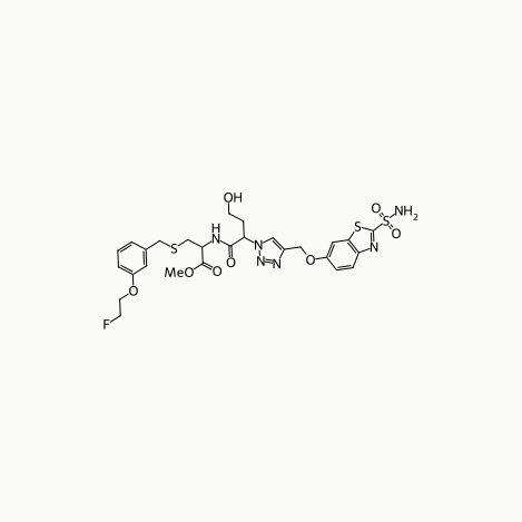 COC(=O)C(CSCc1cccc(OCCF)c1)NC(=O)C(CCO)n1cc(COc2ccc3nc(S(N)(=O)=O)sc3c2)nn1